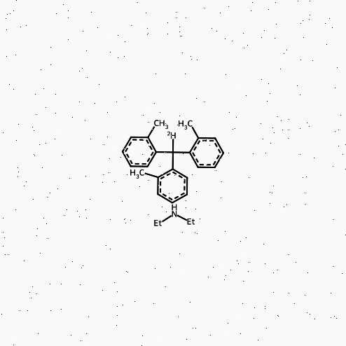 CCNCC.[2H]C(c1ccccc1C)(c1ccccc1C)c1ccccc1C